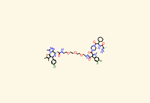 CN[C@@H](C)C(=O)NC(C(=O)N1CCN(C(=O)c2c(C(=O)NCCOCCOCCOCCNC(=O)C[C@@H]3N=C(c4ccc(Cl)cc4)c4c(sc(C)c4C)-n4c(C)nnc43)c3cc(F)c(F)cc3n2C)CC1)C1CCCCC1